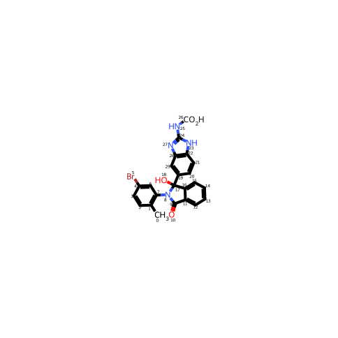 Cc1ccc(Br)cc1N1C(=O)c2ccccc2C1(O)c1ccc2[nH]c(NC(=O)O)nc2c1